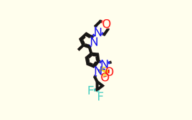 Cc1ccc(N2CCOCC2)nc1-c1ccc2c(c1)N(C)S(=O)(=O)N2CC1CC1(F)F